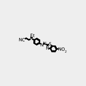 CCN(CCC#N)c1ccc(/N=N/c2nc3ccc([N+](=O)[O-])cc3s2)cc1